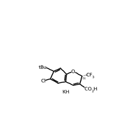 CC(C)(C)c1cc2c(cc1Cl)C=C(C(=O)O)[C@@H](C(F)(F)F)O2.[KH]